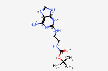 CC(C)(C)OC(=O)NCCNc1nc(N)c2nc[nH]c2n1